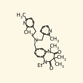 CCN1C(=O)C(C)(C)C(=O)N(C)c2cc(CN(CCc3ccc(C)nc3C)Cc3cccnc3C)ccc21